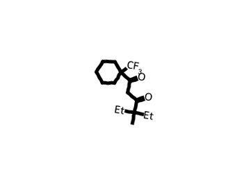 CCC(C)(CC)C(=O)CC(=O)C1(C(F)(F)F)CCCCC1